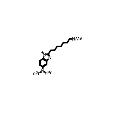 CCCN(CCC)c1ccc2c(c1)nc(CCCCCCCNC)n2C